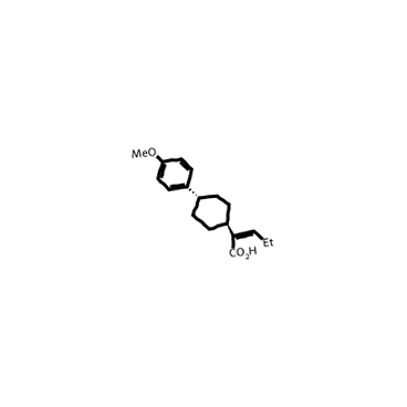 CCC=C(C(=O)O)[C@H]1CC[C@H](c2ccc(OC)cc2)CC1